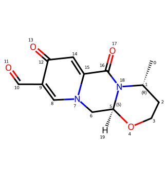 C[C@@H]1CCO[C@H]2Cn3cc(C=O)c(=O)cc3C(=O)N12